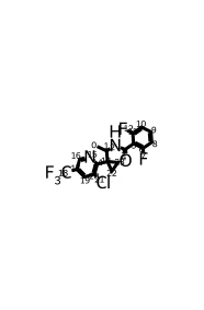 CC(NC(=O)c1c(F)cccc1F)C1(c2ncc(C(F)(F)F)cc2Cl)CC1